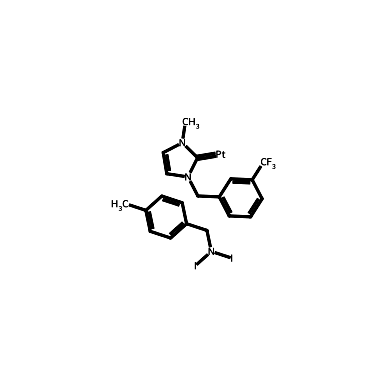 Cc1ccc(CN(I)I)cc1.Cn1ccn(Cc2cccc(C(F)(F)F)c2)[c]1=[Pt]